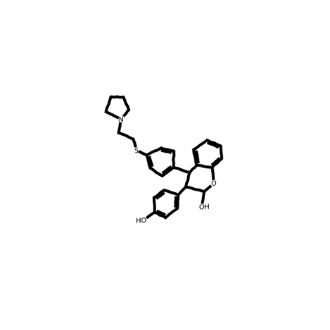 Oc1ccc(C2C(O)Oc3ccccc3C2c2ccc(SCCN3CCCC3)cc2)cc1